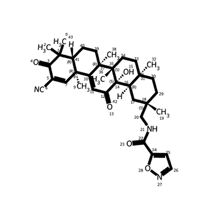 CC1(C)C(=O)C(C#N)=C[C@]2(C)C3=CC(=O)[C@]4(O)[C@@H]5C[C@@](C)(CNC(=O)c6ccno6)CC[C@]5(C)CC[C@@]4(C)[C@]3(C)CC[C@@H]12